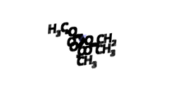 C=C(C)C(=O)O/C(=C/C(=O)OCC)C(=O)OCC